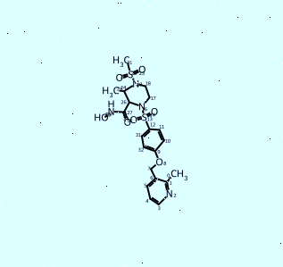 Cc1ncccc1COc1ccc(S(=O)(=O)N2CCN(S(C)(=O)=O)C(C)C2C(=O)NO)cc1